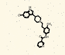 Cc1ccc(NC(=O)c2cccnc2)cc1CCN1CCC(c2c[nH]c3cc(Cl)ccc23)CC1